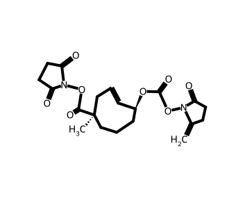 C=C1CCC(=O)N1OC(=O)O[C@@H]1/C=C/C[C@](C)(C(=O)ON2C(=O)CCC2=O)CCC1